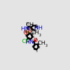 Cc1ccccc1C(=O)Nc1cc(C)c(S(=O)(=O)N[C@@H](C)C2CCNCC2)cc1Cl